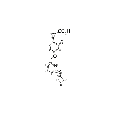 O=C(O)C1CC1c1ccc(OCc2cccc(SC3CCC3)n2)cc1Cl